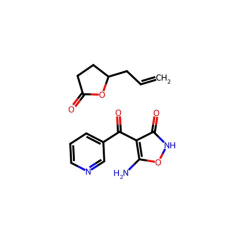 C=CCC1CCC(=O)O1.Nc1o[nH]c(=O)c1C(=O)c1cccnc1